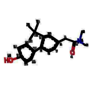 CN(C)C(=O)Cc1ccc(-c2ccc(O)cc2)c(C(C)(C)C)c1